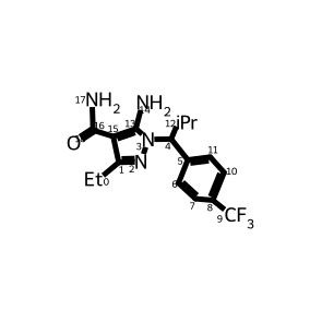 CCc1nn(C(c2ccc(C(F)(F)F)cc2)C(C)C)c(N)c1C(N)=O